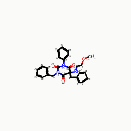 COCCNC1(Cc2ccccc2)C(=O)N(Cc2ccccc2)C(=O)N(c2ccccc2)C1=O